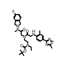 CCN(CCN(CC(=O)N(C)N1Cc2ccc(F)cc2C1)C(=O)CNc1ccc(-c2noc(C)n2)cc1C)C(=O)OC(C)(C)C